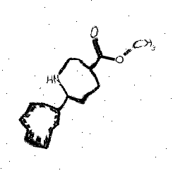 COC(=O)C1CCC(c2ccccc2)NC1